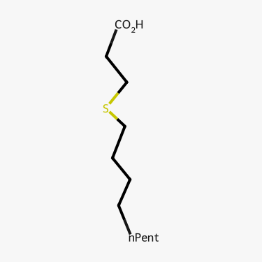 CCCCCCCCCSCCC(=O)O